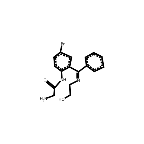 NCC(=O)Nc1ccc(Br)cc1/C(=N\CCO)c1ccccc1